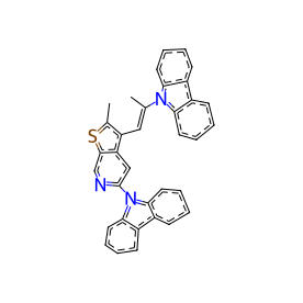 C/C(=C\c1c(C)sc2cnc(-n3c4ccccc4c4ccccc43)cc12)n1c2ccccc2c2ccccc21